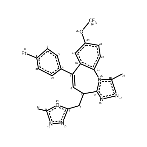 CCc1ccc(C2=CC(Cc3nnc(C)o3)c3nnc(C)n3-c3ccc(OC(F)(F)F)cc32)cc1